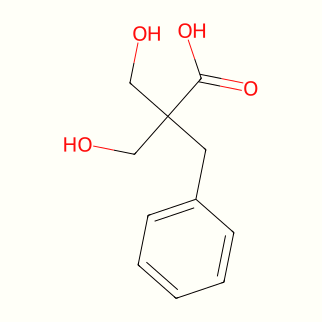 O=C(O)C(CO)(CO)Cc1ccccc1